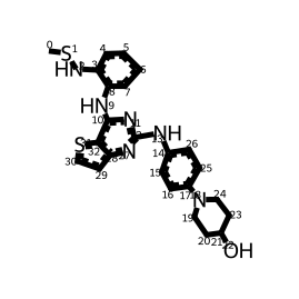 CSNc1ccccc1Nc1nc(Nc2ccc(N3CCC(O)CC3)cc2)nc2ccsc12